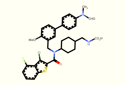 COc1ccc(-c2ccc(N(C)C=O)cc2)cc1CN(C(=O)c1sc2cccc(F)c2c1Cl)C1CCC(CNC(=O)O)CC1